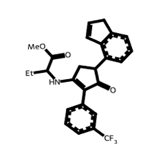 CCC(NC1=C(c2cccc(C(F)(F)F)c2)C(=O)C(c2cccc3c2C=CC3)C1)C(=O)OC